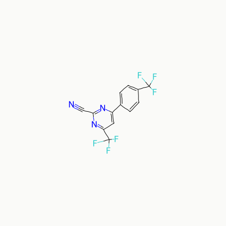 N#Cc1nc(-c2ccc(C(F)(F)F)cc2)cc(C(F)(F)F)n1